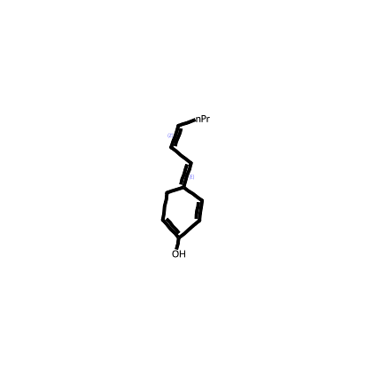 CCC/C=C\C=C1\C=CC(O)=CC1